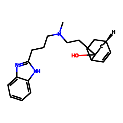 CN(CCCc1nc2ccccc2[nH]1)CCC1(O)C[C@H]2C=CC1CC2